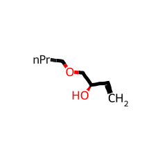 C=C[C@@H](O)COCCCC